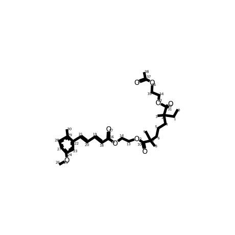 CCC(C)(CCCC(C)(C)C(=O)OCCOC(=O)/C=C/C=C/c1cc(OC)ccc1C)C(=O)OCCOC(C)=O